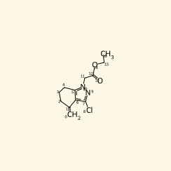 C=C1CCCc2c1c(Cl)nn2CC(=O)OCC